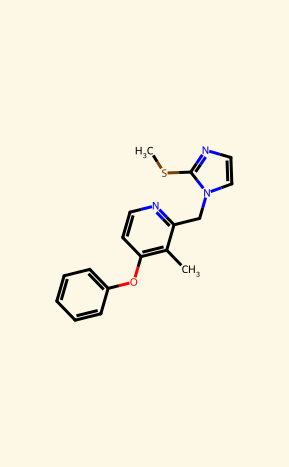 CSc1nccn1Cc1nccc(Oc2ccccc2)c1C